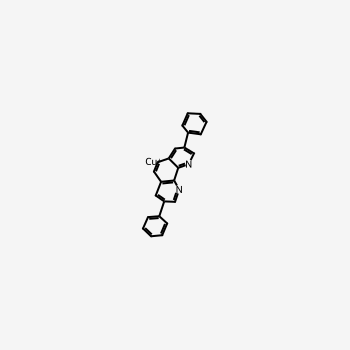 [Cu+].c1ccc(-c2cnc3c(ccc4cc(-c5ccccc5)cnc43)c2)cc1